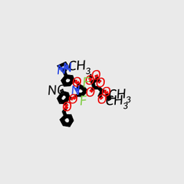 CN1CCN=C1c1cccc(Oc2nc(Oc3cc(C#N)ccc3OCc3ccccc3)c(F)c(OC3C(C4COC(C)(C)O4)OC4OCOC43)c2F)c1